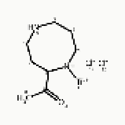 CC(=O)C1CCNCCC[N]1[Ti+2].[Cl-].[Cl-]